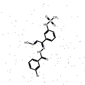 CS(=O)(=O)Nc1cccc(C(/C=N/O)=N/NC(=O)c2cccc(Br)c2)c1